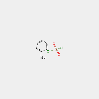 CCCCc1ccccc1.O=S(=O)(Cl)Cl